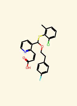 Cc1cccc(Cl)c1SC(OCCc1ccc(F)cc1)c1cccnc1C=CC(=O)O